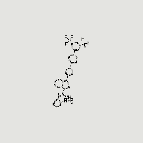 C=C(Sc1ccccc1N)c1ccc(-c2ccc(-c3ccc(-c4cc(C(F)(F)F)cc(C(F)(F)F)c4)cc3)cc2)c2ccccc12